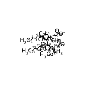 CCCCCC(C)(C)c1ccc(N(C)CCC(=O)[O-])cc1.CCCCCC(C)(C)c1ccc(N(C)CCC(=O)[O-])cc1.[Co+2]